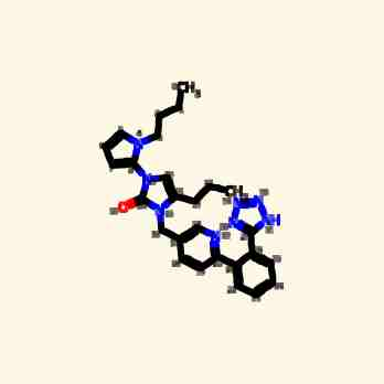 CCCCn1cccc1-n1cc(CCC)n(Cc2ccc(-c3ccccc3-c3nnn[nH]3)nc2)c1=O